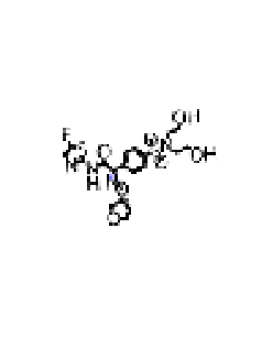 O=C(Nc1ncc(F)s1)/C(=N/O[C@@H]1CCOC1)c1ccc(S(=O)(=O)N(CCO)CCO)cc1